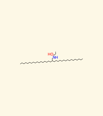 CCCCCCCCCCCCCCCCCC(CCCCCCCCCCCCCCCC)CNC(O)CC